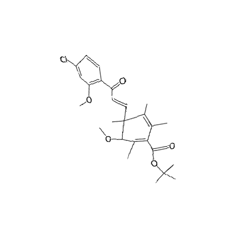 COc1cc(Cl)ccc1C(=O)C=CC1(C)C(C)=C(C)C(C(=O)OC(C)(C)C)=C(C)C1OC